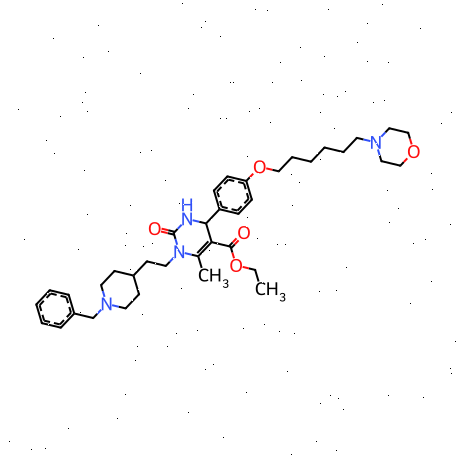 CCOC(=O)C1=C(C)N(CCC2CCN(Cc3ccccc3)CC2)C(=O)NC1c1ccc(OCCCCCCN2CCOCC2)cc1